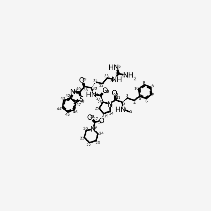 CN[C@H](CCc1ccccc1)C(=O)N1C[C@H](OC(=O)N2CCCCC2)C[C@H]1C(=O)N[C@@H](CCCNC(=N)N)C(=O)c1nc2ccccc2s1